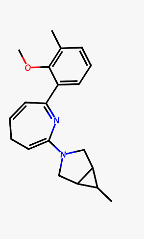 COc1c(C)cccc1C1=NC(N2CC3C(C)C3C2)=CCC=C1